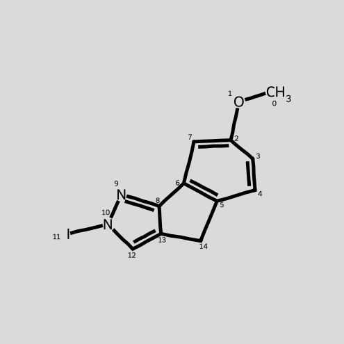 COc1ccc2c(c1)-c1nn(I)cc1C2